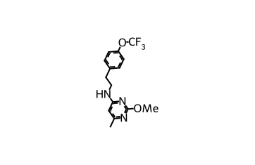 COc1nc(C)cc(NCCc2ccc(OC(F)(F)F)cc2)n1